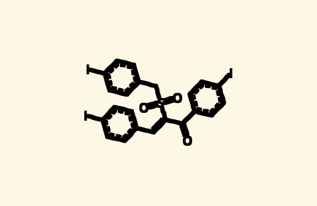 O=C(/C(=C/c1ccc(I)cc1)S(=O)(=O)Cc1ccc(I)cc1)c1ccc(I)cc1